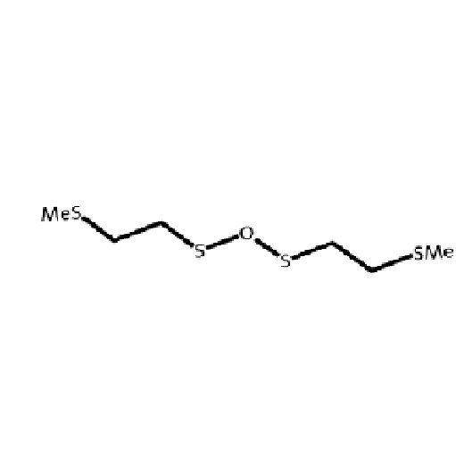 CSCCSOSCCSC